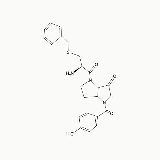 Cc1ccc(C(=O)N2CC(=O)C3C2CCN3C(=O)[C@@H](N)CSCc2ccccc2)cc1